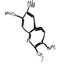 COc1cc2cc(N)c(C)nc2cc1OC